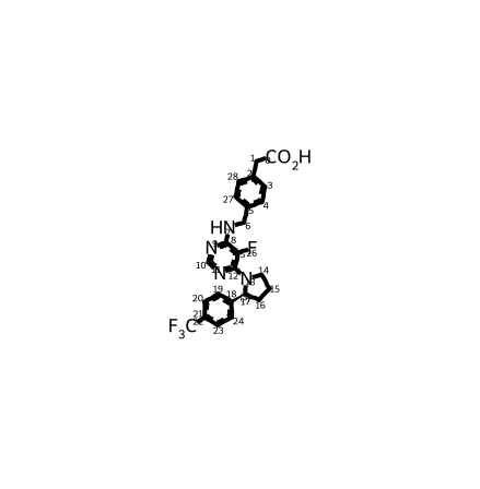 O=C(O)Cc1ccc(CNc2ncnc(N3CCC[C@H]3c3ccc(C(F)(F)F)cc3)c2F)cc1